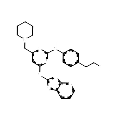 O=C(O)CCc1ccc(Nc2nc(CN3CCCCC3)cc(Nc3nc4cccnc4s3)n2)cc1